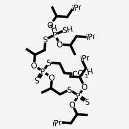 CC(C)CC(C)OP(=S)(OC(C)CC(C)C)SCC(C)OP(=S)(OC(C)CS[PH](S)(OC(C)CC(C)C)OC(C)CC(C)C)SCCC(=O)O